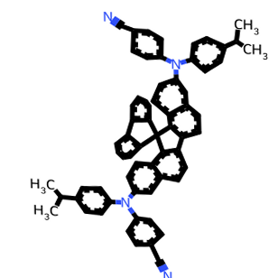 CC(C)c1ccc(N(c2ccc(C#N)cc2)c2ccc3c4c(ccc3c2)-c2ccc3cc(N(c5ccc(C#N)cc5)c5ccc(C(C)C)cc5)ccc3c2C42c3ccccc3-c3ccccc32)cc1